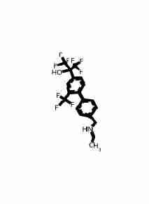 CCNCc1ccc(-c2ccc(C(O)(C(F)(F)F)C(F)(F)F)cc2C(F)(F)F)cc1